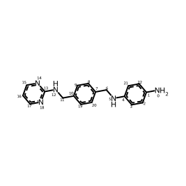 Nc1ccc(NCc2ccc(CNc3ncccn3)cc2)cc1